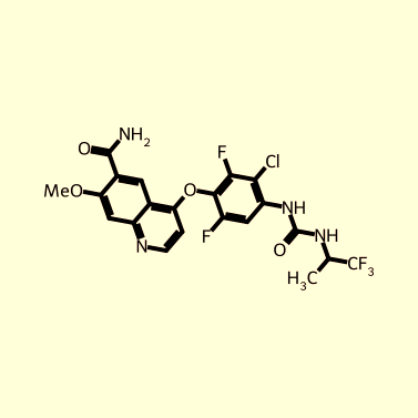 COc1cc2nccc(Oc3c(F)cc(NC(=O)NC(C)C(F)(F)F)c(Cl)c3F)c2cc1C(N)=O